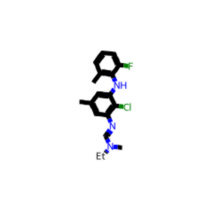 CCN(C)C=Nc1cc(C)cc(Nc2c(C)cccc2F)c1Cl